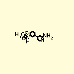 CS(=O)(=O)Nc1cccc(-c2ccnc(N)c2)c1